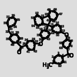 Cc1ccc(C(=O)c2ccc(Oc3ccc(C4(c5ccc(Oc6ccc(C(=O)c7ccc(Cc8ccccc8)cc7)cc6)cc5)c5ccccc5-c5ccccc54)cc3)cc2)cc1